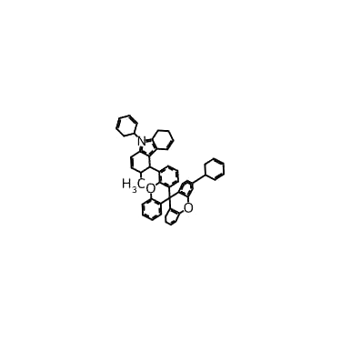 CC1C=Cc2c(c3c(n2C2C=CC=CC2)CCC=C3)C1c1cccc2c1Oc1ccccc1C21C2=C(C=CCC2)Oc2cc(C3C=CC=CC3)ccc21